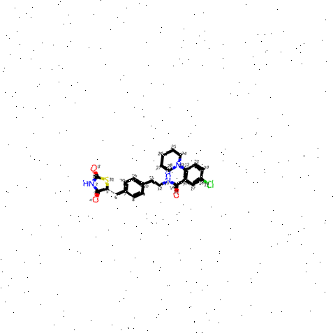 O=C1NC(=O)[C@@H](Cc2ccc(CCNC(=O)c3cc(Cl)ccc3N3CCCCC3)cc2)S1